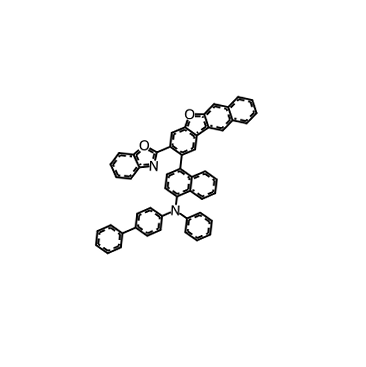 c1ccc(-c2ccc(N(c3ccccc3)c3ccc(-c4cc5c(cc4-c4nc6ccccc6o4)oc4cc6ccccc6cc45)c4ccccc34)cc2)cc1